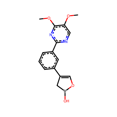 COc1cnc(-c2cccc(C3=COB(O)C3)c2)nc1OC